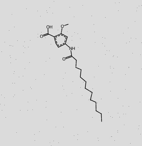 CCCCCCCCCCCCC(=O)Nc1ccc(C(=O)O)c(OC)c1